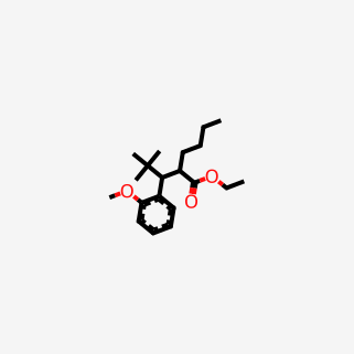 CCCCC(C(=O)OCC)C(c1ccccc1OC)C(C)(C)C